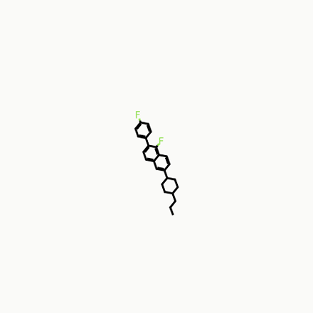 CCCC1CCC(c2ccc3c(F)c(-c4ccc(F)cc4)ccc3c2)CC1